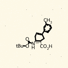 Cc1cccc(C2=CC[C@H](NC(=O)OC(C)(C)C)[C@@H](C(=O)O)C2)c1